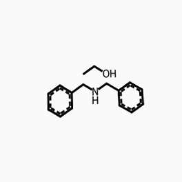 CCO.c1ccc(CNCc2ccccc2)cc1